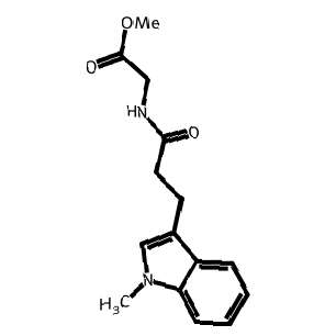 COC(=O)CNC(=O)CCc1cn(C)c2ccccc12